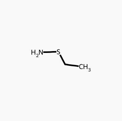 CCSN